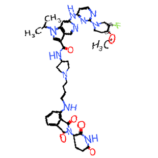 CO[C@H]1CCN(c2nccc(Nc3cc4c(cn3)c(C(=O)NC3CCN(CCCCNc5cccc6c5C(=O)N(C5CCC(=O)NC5=O)C6=O)CC3)cn4C(C)C)n2)C[C@H]1F